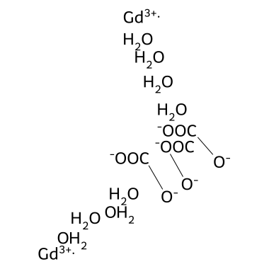 O.O.O.O.O.O.O.O.O=C([O-])[O-].O=C([O-])[O-].O=C([O-])[O-].[Gd+3].[Gd+3]